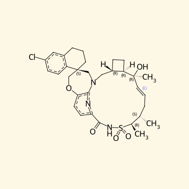 C[C@@H]1[C@@H](C)C/C=C/[C@](C)(O)[C@@H]2CC[C@H]2CN2C[C@@]3(CCCc4cc(Cl)ccc43)COc3ccc(nc32)C(=O)NS1(=O)=O